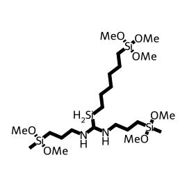 CO[Si](C)(CCCNC(NCCC[Si](C)(OC)OC)[SiH2]CCCCCC[Si](OC)(OC)OC)OC